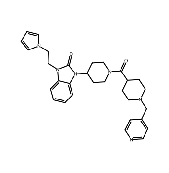 O=C(C1CCN(Cc2ccncc2)CC1)N1CCC(n2c(=O)n(CCn3cccc3)c3ccccc32)CC1